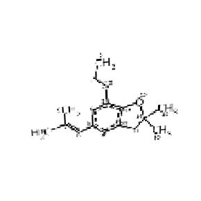 CCSc1cc(C=C(C)C)cc2c1OC(C)(C)C2